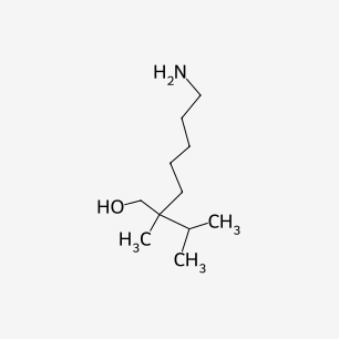 CC(C)C(C)(CO)CCCCCN